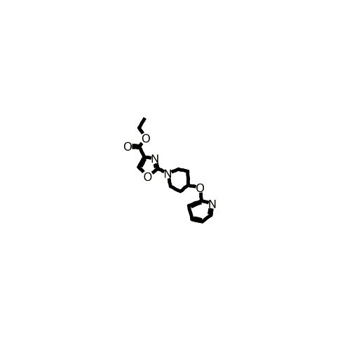 CCOC(=O)c1coc(N2CCC(Oc3ccccn3)CC2)n1